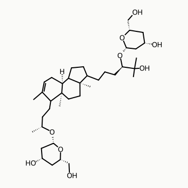 CC1=CC[C@H]2C3CCC(CCC[C@@H](O[C@H]4C[C@@H](O)C[C@@H](CO)O4)C(C)(C)O)[C@@]3(C)CC[C@@]2(C)C1CC[C@@H](C)O[C@H]1C[C@@H](O)C[C@@H](CO)O1